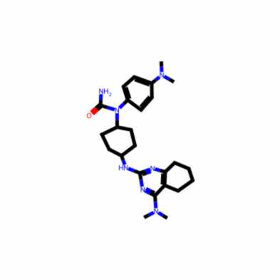 CN(C)c1ccc(N(C(N)=O)C2CCC(Nc3nc4c(c(N(C)C)n3)CCCC4)CC2)cc1